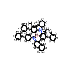 Cc1ccccc1-c1cc2c3c(c1)N1c4c(cc(-c5ccccc5)cc4C4(C)CCCCC14C)B3N(c1ccc(-c3ccccc3)cc1)c1ccc3ccccc3c1-2